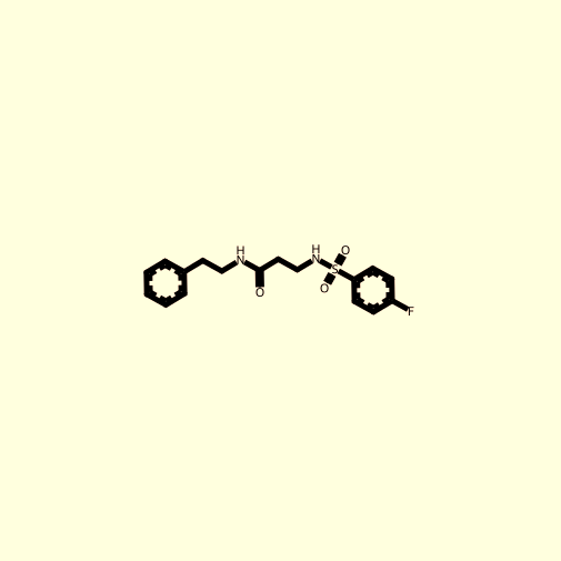 O=C(CCNS(=O)(=O)c1ccc(F)cc1)NCCc1ccccc1